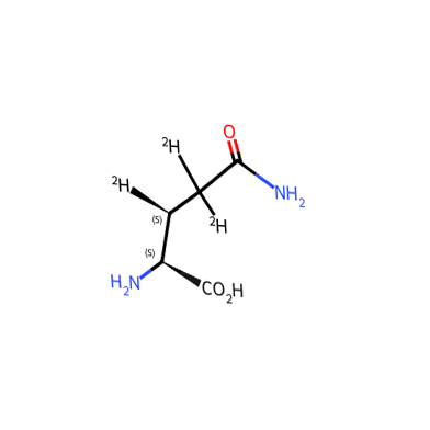 [2H][C@H]([C@H](N)C(=O)O)C([2H])([2H])C(N)=O